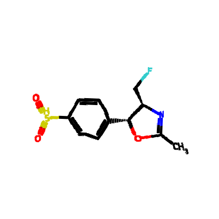 CC1=N[C@H](CF)[C@@H](c2ccc([SH](=O)=O)cc2)O1